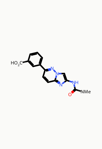 CNC(=O)Nc1cn2nc(-c3cccc(C(=O)O)c3)ccc2n1